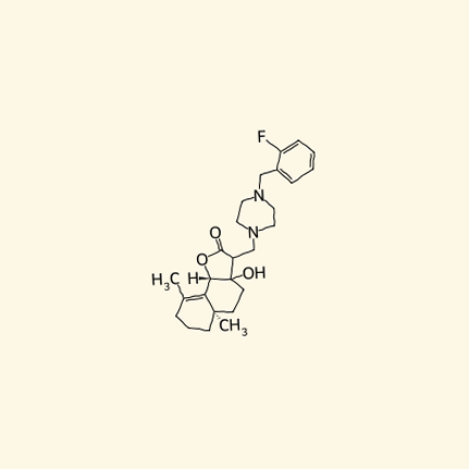 CC1=C2[C@@H]3OC(=O)C(CN4CCN(Cc5ccccc5F)CC4)C3(O)CC[C@@]2(C)CCC1